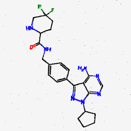 Nc1ncnc2c1c(-c1ccc(CNC(=O)C3CCC(F)(F)CN3)cc1)nn2C1CCCC1